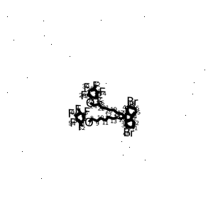 Fc1c(F)c(F)c(OCCCCCCCCC2(CCCCCCCCOc3c(F)c(F)c(F)c(F)c3F)c3cc(Br)ccc3-c3ccc(Br)cc32)c(F)c1F